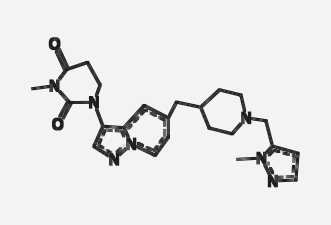 CN1C(=O)CCN(c2cnn3ccc(CC4CCN(Cc5ccnn5C)CC4)cc23)C1=O